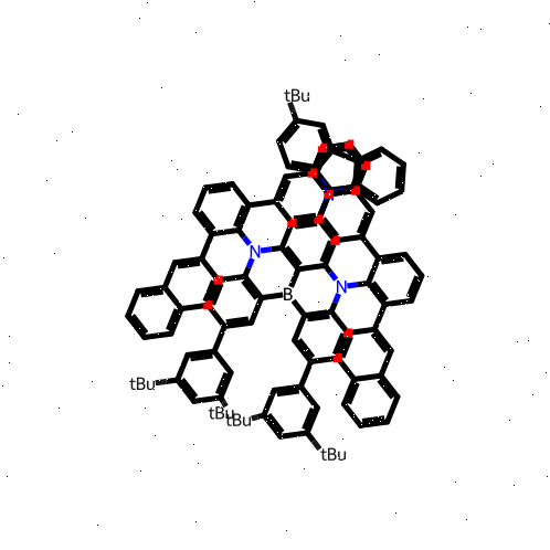 CC(C)(C)c1cc(-c2ccc3c(c2)B2c4cc(-c5cc(C(C)(C)C)cc(C(C)(C)C)c5)ccc4N(c4c(-c5ccc6ccccc6c5)cccc4-c4ccc5ccccc5c4)c4cc(-n5c6ccccc6c6cc(C(C)(C)C)ccc65)cc(c42)N3c2c(-c3ccc4ccccc4c3)cccc2-c2ccc3ccccc3c2)cc(C(C)(C)C)c1